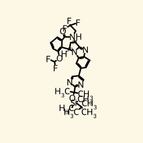 CC(C)(O[Si](C)(C)C(C)(C)C)c1ncc(-c2ccc3nc4n(c3c2)[C@@H]2C[C@H]4N(CC(F)(F)F)C(=O)c3cccc(OC(F)F)c32)cn1